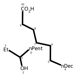 CCCCCC(O)CC.CCCCCCCCCCCCCCCC(=O)O